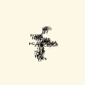 CC(C)[C@H](COC(=O)OCCSSC[C@@H](C)NC(=O)[C@H](CCC(=O)NC[C@H](O)[C@@H](O)[C@H](O)[C@H](O)CO)NC(=O)[C@H](CCC(=O)O)NC(=O)[C@H](CCC(=O)NC[C@H](O)[C@@H](O)[C@H](O)[C@H](O)CO)NC(=O)[C@H](CCC(=O)O)NC(=O)[C@H](CCC(=O)NC[C@H](O)[C@@H](O)[C@H](O)[C@H](O)CO)NC(=O)CC[C@@H](C)NC(=O)c1ccc(NCc2cnc3nc(N)[nH]c(=O)c3n2)cc1)Cc1nc(Nc2cccc(Cl)c2)c2ncn(C(C)C)c2n1